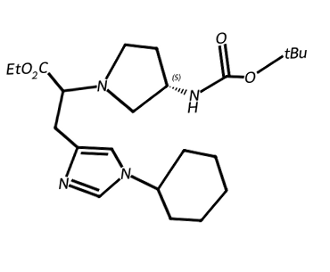 CCOC(=O)C(Cc1cn(C2CCCCC2)cn1)N1CC[C@H](NC(=O)OC(C)(C)C)C1